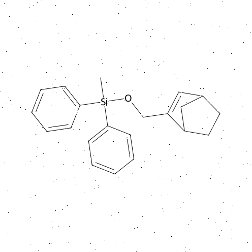 C[Si](OCC1=CC2CCC1C2)(c1ccccc1)c1ccccc1